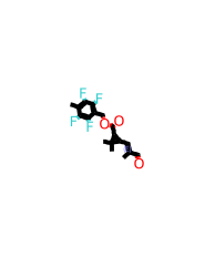 C/C(C=O)=C\C1C(C(=O)OCc2c(F)c(F)c(C)c(F)c2F)C1(C)C